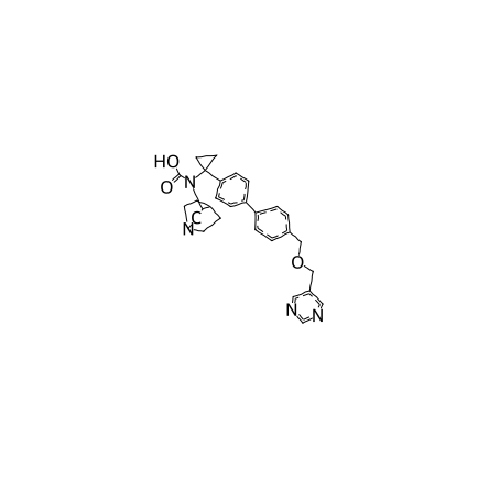 O=C(O)N(C1CN2CCC1CC2)C1(c2ccc(-c3ccc(COCc4cncnc4)cc3)cc2)CC1